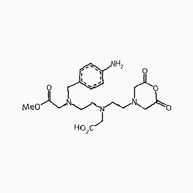 COC(=O)CN(CCN(CCN1CC(=O)OC(=O)C1)CC(=O)O)Cc1ccc(N)cc1